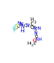 C=CC(=O)Nc1ccc(N2CC(n3c(C#N)cc4c(C)c(CN5CCC(Nc6ncnc7sc(CC(F)(F)F)cc67)CC5)ccc43)C2)cc1